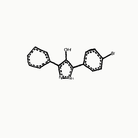 Oc1c(-c2ccccc2)n[nH]c1-c1ccc(Br)cc1